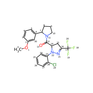 COc1cccc(C2CCCN2C(=O)C2CC(C(F)(F)F)=NN2c2ccccc2Cl)c1